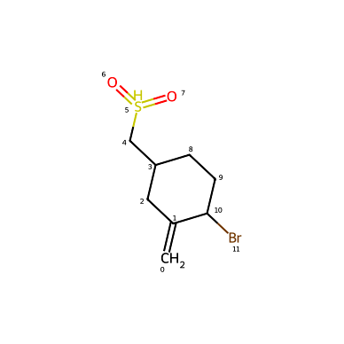 C=C1CC(C[SH](=O)=O)CCC1Br